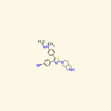 C/C=N\N(C)c1ccc(-c2sc(N3CCC4CNCC4C3)nc2-c2ccc(C#N)cc2)cc1